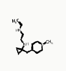 C=CNCCNC1(CC2CCN(C)CC2)CC1